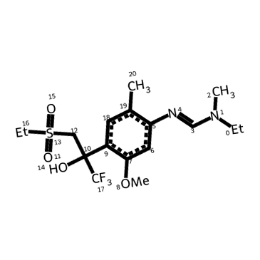 CCN(C)C=Nc1cc(OC)c(C(O)(CS(=O)(=O)CC)C(F)(F)F)cc1C